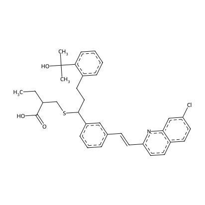 CCC(CSC(CCc1ccccc1C(C)(C)O)c1cccc(C=Cc2ccc3ccc(Cl)cc3n2)c1)C(=O)O